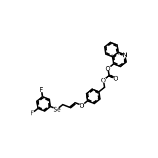 O=C(OCc1ccc(OC=CC[Se]c2cc(F)cc(F)c2)cc1)Oc1ccnc2ccccc12